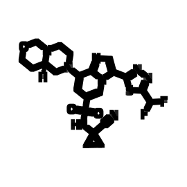 N#CC1(NS(=O)(=O)c2cc(N3CCN4COCC[C@@H]4C3)c3ncc(-c4nnc(C(F)F)s4)n3c2)CC1